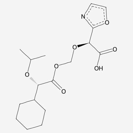 CC(C)O[C@H](C(=O)OCO[C@H](C(=O)O)c1ncco1)C1CCCCC1